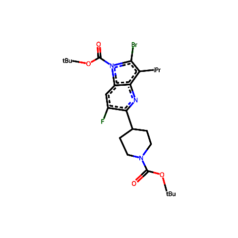 CC(C)c1c(Br)n(C(=O)OC(C)(C)C)c2cc(F)c(C3CCN(C(=O)OC(C)(C)C)CC3)nc12